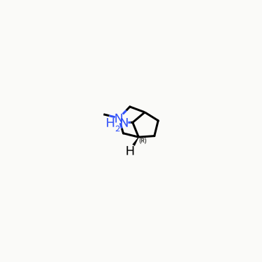 CN1CC2CC[C@H](C1)C2N